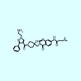 CN(C)CCC(=O)Nc1ccc2c(=O)n(CC3(O)CCN(C(=O)c4cn(CCN)nc4-c4ccccc4)CC3)cnc2c1